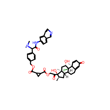 C[C@@H]1C[C@H]2[C@@H]3CCC4=CC(=O)C=C[C@]4(C)[C@@]3(F)[C@@H](O)C[C@]2(C)[C@@]1(O)C(=O)COC(=O)C1CC1C(=O)OCc1ccc(C(C(=O)Nc2ccc3cnccc3c2)N(C)C)cc1